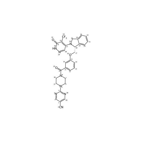 N#Cc1cnc(N2CCN(C(=O)c3cccc(OC[C@H]4c5ccccc5CN4c4cn[nH]c(=O)c4C(F)(F)F)c3)CC2)nc1